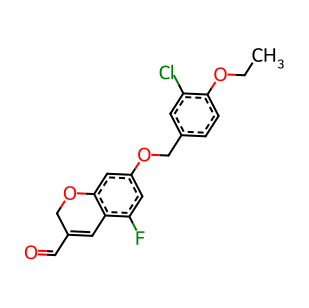 CCOc1ccc(COc2cc(F)c3c(c2)OCC(C=O)=C3)cc1Cl